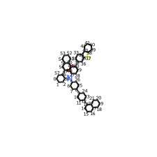 c1ccc(N(c2ccc(-c3ccc(-c4cccc5ccccc45)cc3)cc2)c2ccc(-c3ccc4c(c3)sc3ccccc34)cc2)c(-c2ccc3ccccc3c2)c1